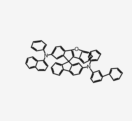 c1ccc(-c2cccc(N(c3ccccc3)c3ccc4c(c3)C3(c5ccccc5-4)c4cc(N(c5ccccc5)c5cccc6ccccc56)ccc4-c4oc5ccccc5c43)c2)cc1